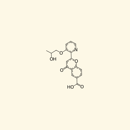 CC(O)COc1cccnc1-c1cc(=O)c2cc(C(=O)O)ccc2o1